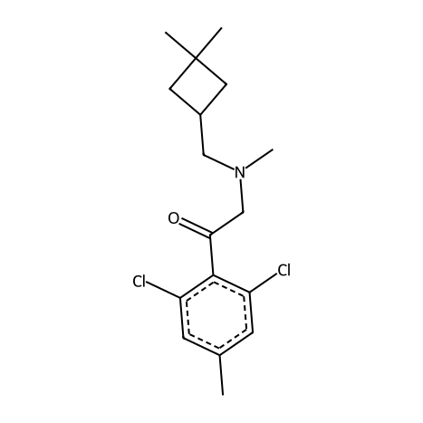 Cc1cc(Cl)c(C(=O)CN(C)CC2CC(C)(C)C2)c(Cl)c1